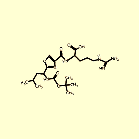 CC(C)CC(NC(=O)OC(C)(C)C)c1nc(C(=O)NC(CCCNC(=N)N)C(=O)O)co1